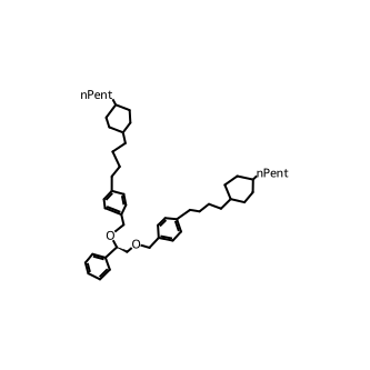 CCCCCC1CCC(CCCCc2ccc(COC[C@H](OCc3ccc(CCCCC4CCC(CCCCC)CC4)cc3)c3ccccc3)cc2)CC1